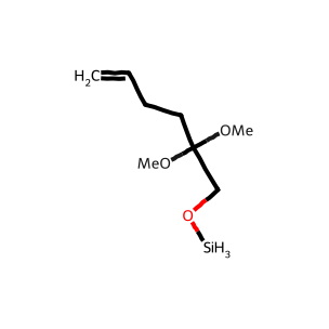 C=CCCC(CO[SiH3])(OC)OC